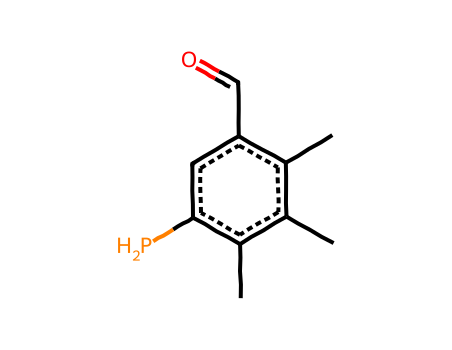 Cc1c(P)cc(C=O)c(C)c1C